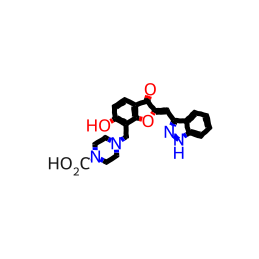 O=C1C(=Cc2n[nH]c3ccccc23)Oc2c1ccc(O)c2CN1CCN(C(=O)O)CC1